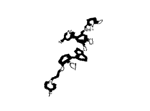 N#Cc1cncc(-c2cc(O[C@H]3CCc4c(-c5cccc(OCCCN6CCC(F)CC6)c5Cl)cccc43)c(Cl)cc2CNC[C@H]2CCC(=O)N2)c1